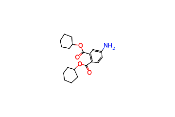 Nc1ccc(C(=O)OC2CCCCC2)c(C(=O)OC2CCCCC2)c1